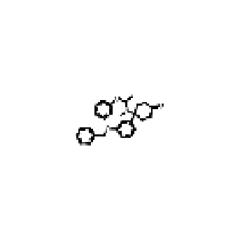 CC(Oc1ccccc1)N(C)C1(c2cccc(OCc3ccccc3)c2)CCC(=O)CC1